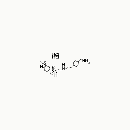 Cc1nc2ccc(S(=O)(=O)NCCNCCCc3ccc(CN)cc3)cc2s1.Cl.Cl